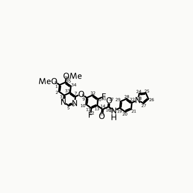 COc1cc2ncnc(Oc3cc(F)c(C(=O)C(=O)Nc4ccc(-n5cccc5)cc4)c(F)c3)c2cc1OC